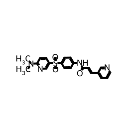 CN(C)c1ccc(S(=O)(=O)c2ccc(NC(=O)C=Cc3cccnc3)cc2)cn1